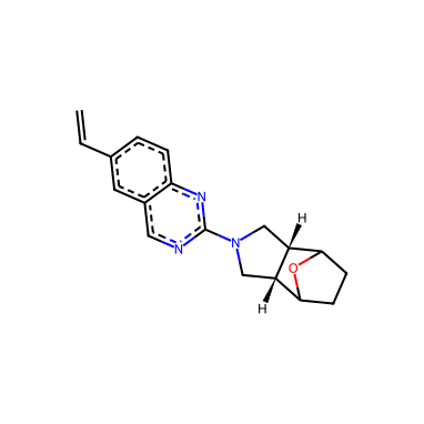 C=Cc1ccc2nc(N3C[C@@H]4C5CCC(O5)[C@@H]4C3)ncc2c1